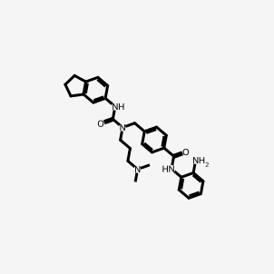 CN(C)CCCN(Cc1ccc(C(=O)Nc2ccccc2N)cc1)C(=O)Nc1ccc2c(c1)CCC2